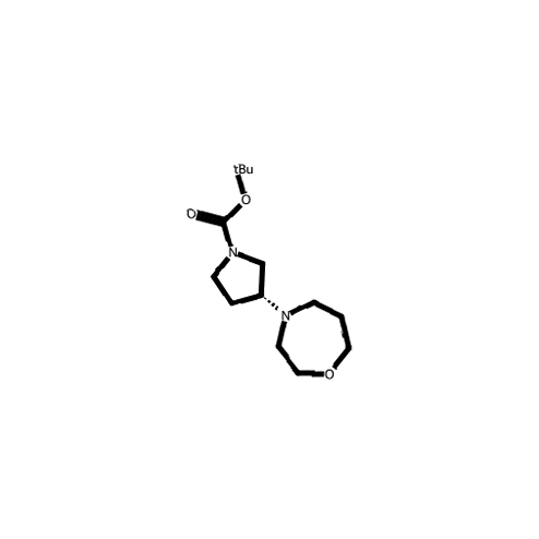 CC(C)(C)OC(=O)N1CC[C@@H](N2CCCOCC2)C1